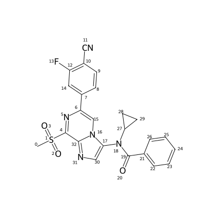 CS(=O)(=O)c1nc(-c2ccc(C#N)c(F)c2)cn2c(N(C(=O)c3ccccc3)C3CC3)cnc12